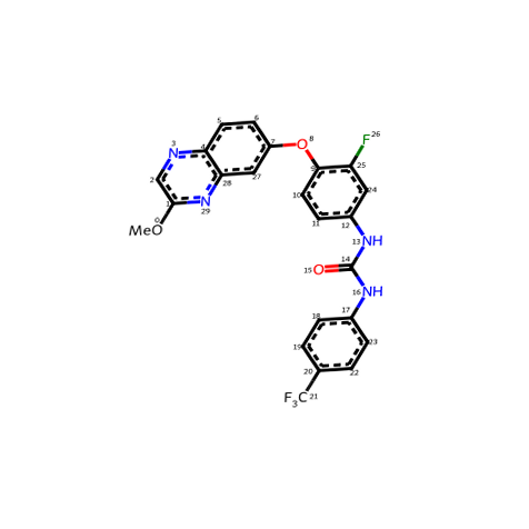 COc1cnc2ccc(Oc3ccc(NC(=O)Nc4ccc(C(F)(F)F)cc4)cc3F)cc2n1